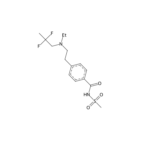 CCN(CCc1ccc(C(=O)NS(C)(=O)=O)cc1)CC(C)(F)F